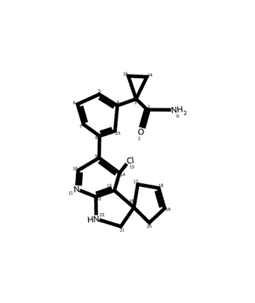 NC(=O)C1(c2cccc(-c3cnc4c(c3Cl)C3(CC=CC3)CN4)c2)CC1